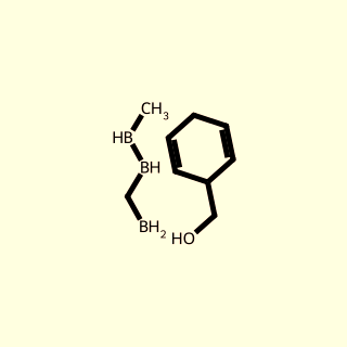 BCBBC.OCC1C=CCC=C1